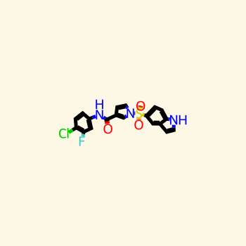 O=C(Nc1ccc(Cl)c(F)c1)c1ccn(S(=O)(=O)c2ccc3[nH]ccc3c2)c1